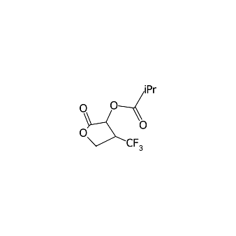 CC(C)C(=O)OC1C(=O)OCC1C(F)(F)F